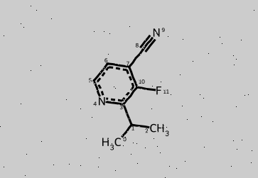 CC(C)c1nccc(C#N)c1F